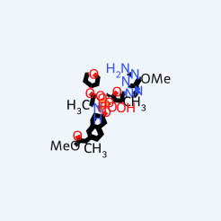 COC(=O)[C@@H](C)c1ccc2cc(OP(=O)(N[C@@H](C)C(=O)OC3CCOCC3)OC[C@H]3OC(n4cnc5c(OC)nc(N)nc54)[C@](C)(O)[C@@H]3O)ccc2c1